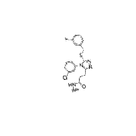 CCCNC(=O)CCc1nnc(SCc2cccc(F)c2)n1-c1cccc(Cl)c1